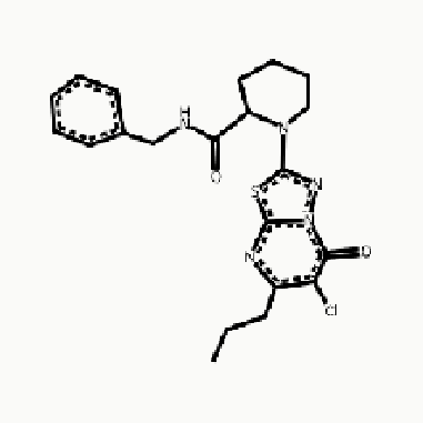 CCCc1nc2sc(N3CCCCC3C(=O)NCc3ccccc3)nn2c(=O)c1Cl